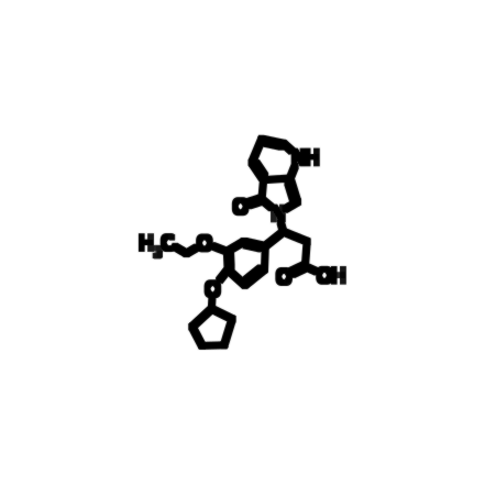 CCOc1cc(C(CC(=O)O)n2cc3[nH]cccc-3c2=O)ccc1OC1CCCC1